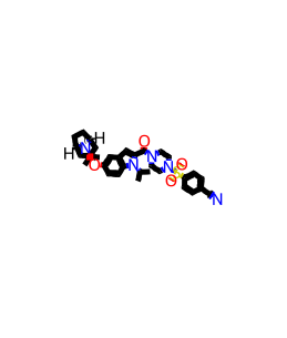 CC(C)N1[C@@H]2CC[C@H]1C[C@@H](Oc1ccc3c(c1)cc(C(=O)N1CCN(S(=O)(=O)c4ccc(C#N)cc4)CC1)n3C(C)C)C2